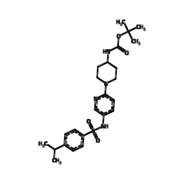 CC(C)c1ccc(S(=O)(=O)Nc2ccc(N3CCC(NC(=O)OC(C)(C)C)CC3)nc2)cc1